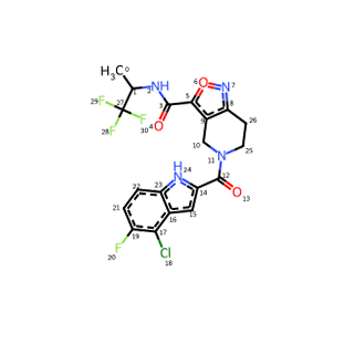 CC(NC(=O)c1onc2c1CN(C(=O)c1cc3c(Cl)c(F)ccc3[nH]1)CC2)C(F)(F)F